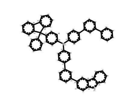 c1ccc(-c2cccc(-c3ccc(N(c4ccc(-c5cccc(-c6ccc7sc8ccccc8c7c6)c5)cc4)c4ccc(C5(c6ccccc6)c6ccccc6-c6ccccc65)cc4)cc3)c2)cc1